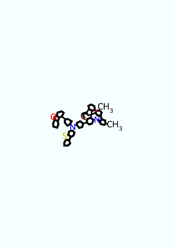 Cc1ccc2c(c1)c1cc(C)cc3c1n2-c1ccc(-c2ccc(N(c4ccc(-c5cccc6oc7ccccc7c56)cc4)c4ccc5c(c4)sc4ccccc45)cc2)cc1C31c2ccccc2-c2ccccc21